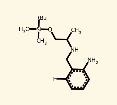 CC(CO[Si](C)(C)C(C)(C)C)NCc1c(N)cccc1F